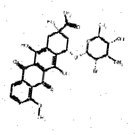 COc1cccc2c1C(=O)c1c(O)c3c(c(O)c1C2=O)C[C@@](O)(C(C)=O)C[C@@H]3O[C@@H]1O[C@@H](C)[C@H](O)[C@@H](N)[C@@H]1Br